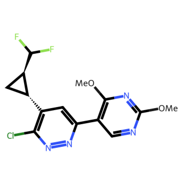 COc1ncc(-c2cc([C@@H]3C[C@H]3C(F)F)c(Cl)nn2)c(OC)n1